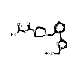 O=C(O)Cn1ccc(-c2ccccc2CN2CCN(C(=O)OC(C(F)(F)F)C(F)(F)F)CC2)n1